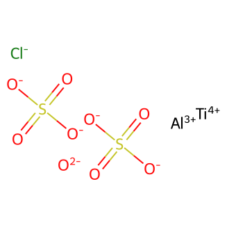 O=S(=O)([O-])[O-].O=S(=O)([O-])[O-].[Al+3].[Cl-].[O-2].[Ti+4]